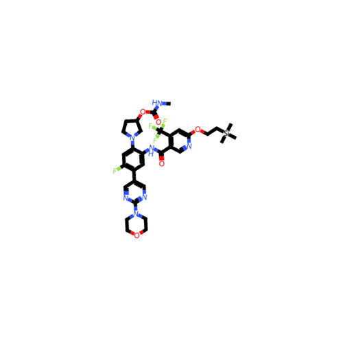 CNC(=O)OC1CCN(c2cc(F)c(-c3cnc(N4CCOCC4)nc3)cc2NC(=O)c2cnc(OCC[Si](C)(C)C)cc2C(F)(F)F)C1